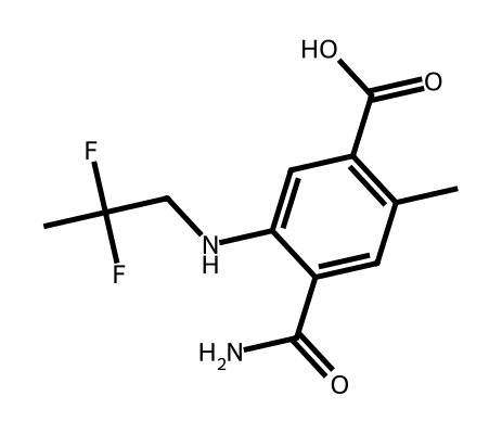 Cc1cc(C(N)=O)c(NCC(C)(F)F)cc1C(=O)O